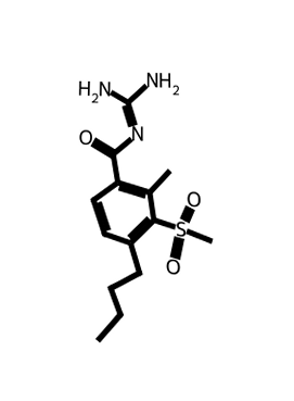 CCCCc1ccc(C(=O)N=C(N)N)c(C)c1S(C)(=O)=O